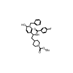 CC(C)(C)OC(=O)N1CCC(CC(NC(=O)c2ccc(F)cc2)C2=CN(Cc3ccccc3)C(O)C=C2)CC1